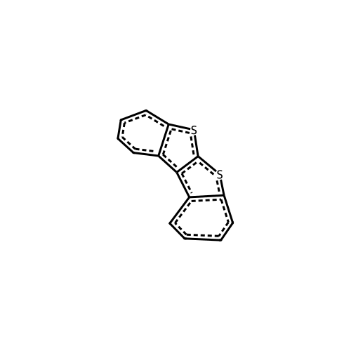 c1ccc2c(c1)sc1sc3ccccc3c12